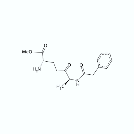 COC(=O)[C@@H](N)CCC(=O)[C@H](C)NC(=O)Cc1ccccc1